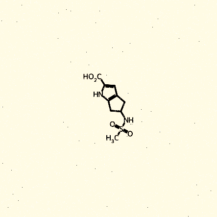 CS(=O)(=O)NC1Cc2cc(C(=O)O)[nH]c2C1